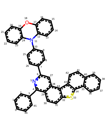 c1ccc(-c2nc(-c3ccc(N4c5ccccc5Oc5ccccc54)cc3)cc3c2ccc2sc4c5ccccc5ccc4c23)cc1